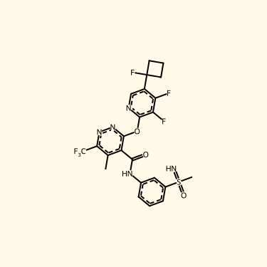 Cc1c(C(F)(F)F)nnc(Oc2ncc(C3(F)CCC3)c(F)c2F)c1C(=O)Nc1cccc(S(C)(=N)=O)c1